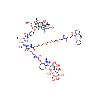 CCCC1O[C@@H]2C[C@H]3[C@@H]4C[C@H](F)C5=CC(=O)C=C[C@]5(C)[C@@]4(F)[C@@H](O)C[C@]3(C)[C@]2(C(=O)COc2ccc(NC(=O)[C@H](C)NC(=O)[C@@H](NC(=O)[C@@H](CCCCNC(=O)COC3CCCCCC4=C3NNN4[C@H]3O[C@H](CO)[C@@](C)(C4O[C@H](CO)[C@@H](O)[C@H](O)[C@H]4O)[C@H](O)[C@H]3O)NC(=O)CCOCCOCCOCCOCCNC(=O)CCC(=O)N3Cc4ccccc4C#Cc4ccccc43)C(C)C)cc2)O1